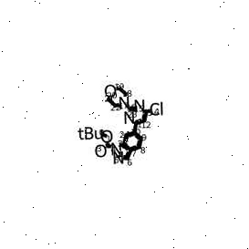 CC(C)(C)OC(=O)n1ncc2ccc(-c3cc(Cl)nc(N4CCOCC4)n3)cc21